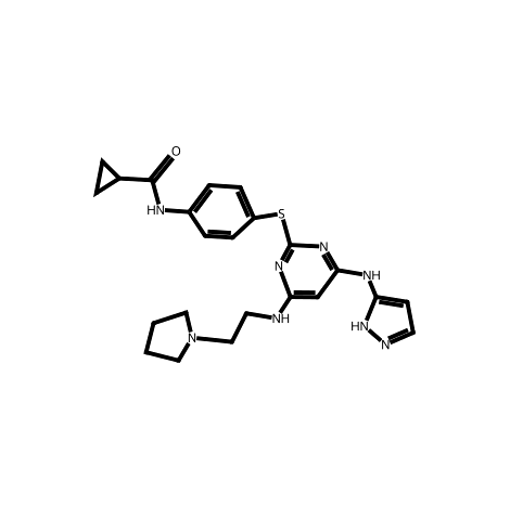 O=C(Nc1ccc(Sc2nc(NCCN3CCCC3)cc(Nc3ccn[nH]3)n2)cc1)C1CC1